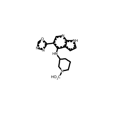 O=C(O)N1CCCC(Nc2c(-c3nnco3)cnc3[nH]ccc23)C1